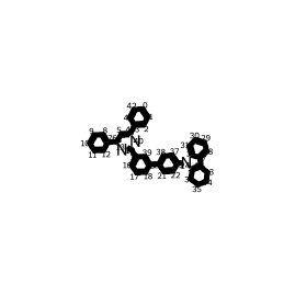 c1ccc(-c2cc(-c3ccccc3)nc(-c3cccc(-c4ccc(-n5c6c(c7ccccc75)CCCC6)cc4)c3)n2)cc1